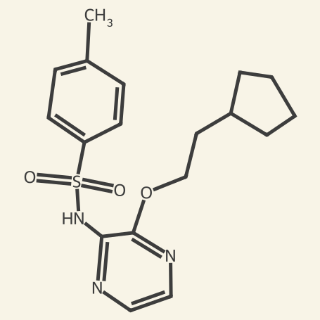 Cc1ccc(S(=O)(=O)Nc2nccnc2OCCC2CCCC2)cc1